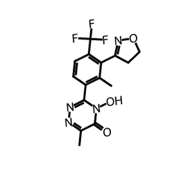 Cc1c(-c2nnc(C)c(=O)n2O)ccc(C(F)(F)F)c1C1=NOCC1